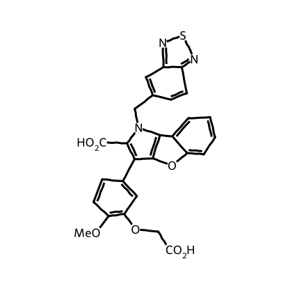 COc1ccc(-c2c(C(=O)O)n(Cc3ccc4nsnc4c3)c3c2oc2ccccc23)cc1OCC(=O)O